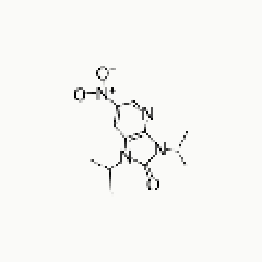 CC(C)n1c(=O)n(C(C)C)c2ncc([N+](=O)[O-])cc21